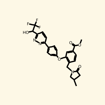 COC(=O)c1ccc(CN2CC(C)CC2=O)c(Oc2ccc(-c3ccc(C(O)C(F)(F)F)nn3)cc2)c1